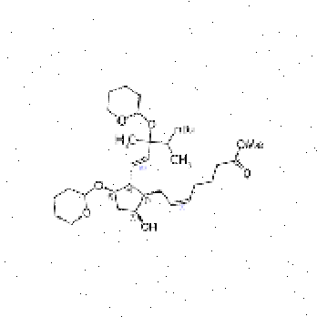 CCCCC(C)C(C)(/C=C/[C@@H]1[C@@H](C/C=C\CCCC(=O)OC)[C@@H](O)C[C@H]1OC1CCCCO1)OC1CCCCO1